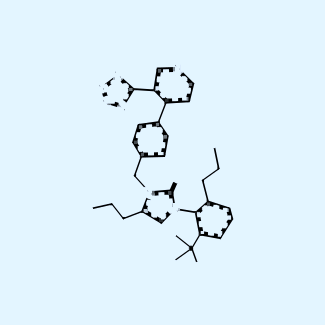 CCCc1cccc(C(C)(C)C)c1-n1cc(CCC)n(Cc2ccc(-c3ccncc3-c3nnn[nH]3)cc2)c1=O